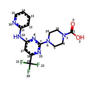 O=C(O)N1CCN(c2nc(Nc3ccccn3)cc(C(F)(F)F)n2)CC1